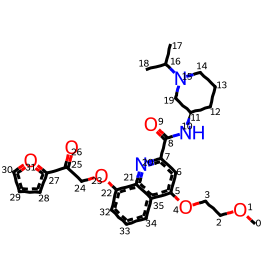 COCCOc1cc(C(=O)N[C@@H]2CCCN(C(C)C)C2)nc2c(OCC(=O)c3ccco3)cccc12